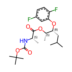 CC(C)C[C@@H](Oc1cc(F)ccc1F)[C@H](C)OC(=O)[C@H](C)NC(=O)OC(C)(C)C